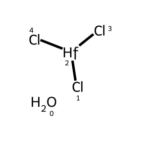 O.[Cl][Hf]([Cl])[Cl]